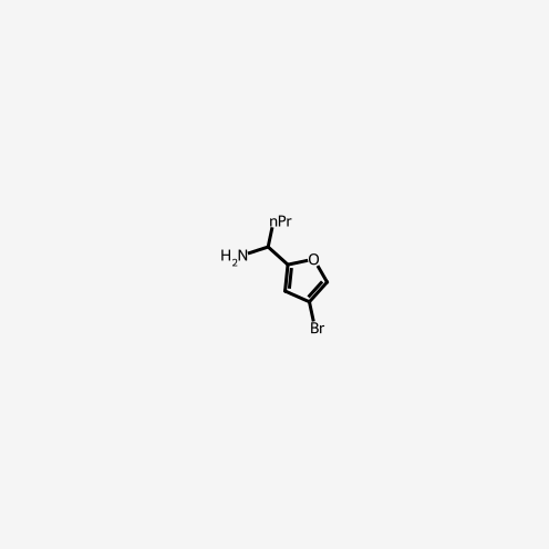 CCCC(N)c1cc(Br)co1